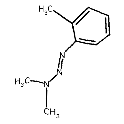 Cc1ccccc1N=NN(C)C